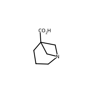 O=C(O)C12CCCN(C1)C2